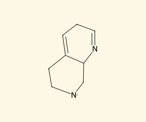 C1=NC2C[N]CCC2=CC1